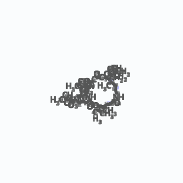 CC1=C\C(O[Si](C)(C)C(C)(C)C)CC(=O)Cc2nc(c([Si](C)(C)C)o2)C(=O)NC(Cc2cn(C(=O)OC(C)(C)C)cn2)C(=O)O[C@H](C(C)C)[C@H](C)/C=C/C(=O)NC\C=C\1